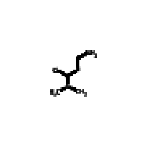 CN(C)C(Cl)CCN